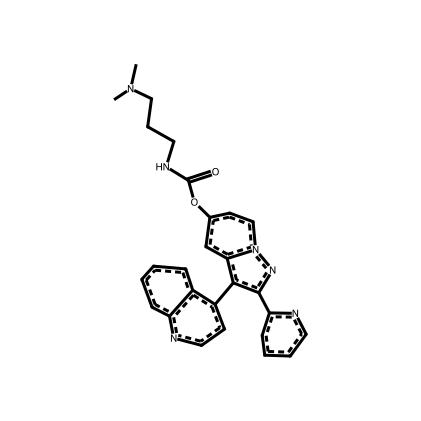 CN(C)CCCNC(=O)Oc1ccn2nc(-c3ccccn3)c(-c3ccnc4ccccc34)c2c1